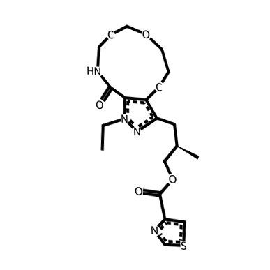 CCn1nc(C[C@@H](C)COC(=O)c2cscn2)c2c1C(=O)NCCCOCCC2